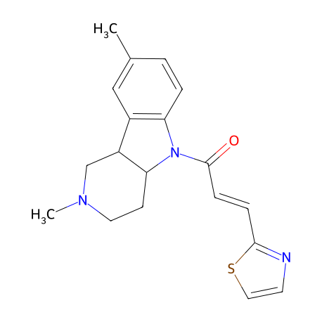 Cc1ccc2c(c1)C1CN(C)CCC1N2C(=O)/C=C/c1nccs1